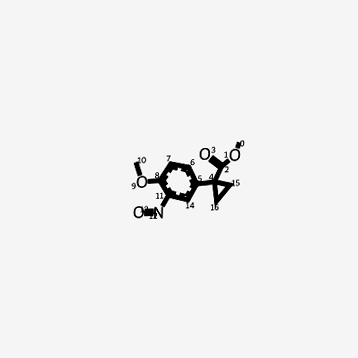 COC(=O)C1(c2ccc(OC)c(N=O)c2)CC1